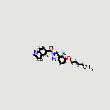 CC/C=C/COc1cccc(CNC(=O)c2ccc3ncccc3c2)c1F